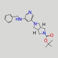 CC(C)(C)OC(=O)N1C[C@@H]2CN(c3cncc(NCc4ccccc4)c3)C[C@@H]2C1